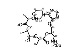 CC(O)C(=O)OC(C)C(=O)OC(C)C(=O)OC(CNC(C)(C)C)COc1nsnc1N1CCOCC1